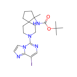 CC(C)(C)OC(=O)NC1(C)CCCC12CCN(c1ncc(I)c3nccn13)CC2